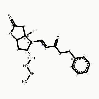 O=C(/C=C/[C@H]1[C@H](PPBO)CC2OC(=O)C[C@@H]21)CCc1ccccc1